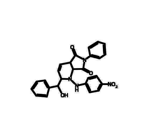 O=C1C2C=CC(C(O)c3ccccc3)N(Nc3ccc([N+](=O)[O-])cc3)C2C(=O)N1c1ccccc1